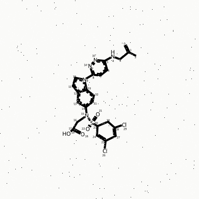 C=C(C)CNc1ccc(-n2ccc3cc(N(CC(=O)O)S(=O)(=O)C4C=C(Cl)C=C(Cl)C4)ccc32)nn1